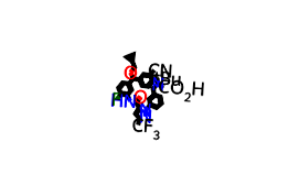 CC(C)(C)N(Cc1cccc(-n2nc(C(F)(F)F)cc2C(=O)Nc2cc(C(OCC3CC3)c3cccc(C#N)c3)ccc2F)c1)C(=O)O